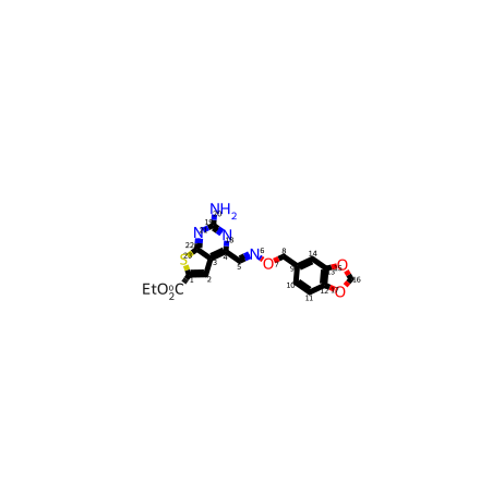 CCOC(=O)c1cc2c(/C=N/OCc3ccc4c(c3)OCO4)nc(N)nc2s1